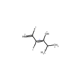 CC(C)/C(O)=C(\F)C(=N)F